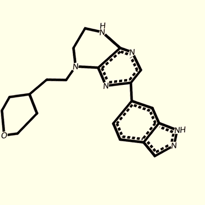 c1cc2cn[nH]c2cc1-c1cnc2c(n1)N(CCC1CCOCC1)CCN2